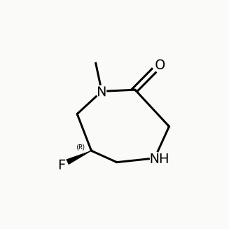 CN1C[C@H](F)CNCC1=O